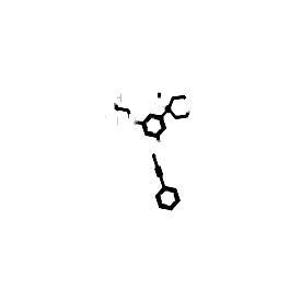 COC1(c2cc(NCC(=O)O)cc(OCC#Cc3ccccc3)c2)CCOCC1